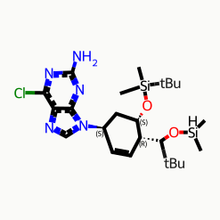 C[SiH](C)OC([C@@H]1C=C[C@@H](n2cnc3c(Cl)nc(N)nc32)C[C@@H]1O[Si](C)(C)C(C)(C)C)C(C)(C)C